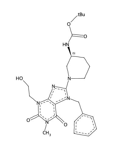 Cn1c(=O)c2c(nc(N3CCC[C@H](NC(=O)OC(C)(C)C)C3)n2Cc2ccccc2)n(CCO)c1=O